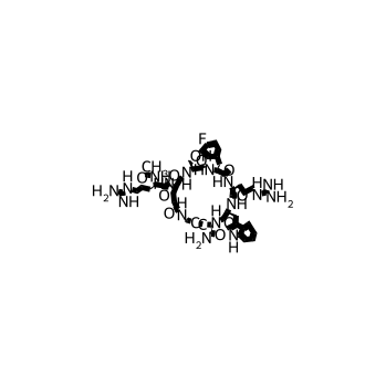 CC(=O)N[C@@H](CCCNC(=N)N)C(=O)N[C@H]1CCC(=O)NCCC[C@@H](C(N)=O)NC(=O)[C@H](Cc2c[nH]c3ccccc23)NC(=O)[C@H](CCCNC(=N)N)NC(=O)[C@@H](Cc2ccc(F)cc2)NC(=O)[C@H](CO)NC1=O